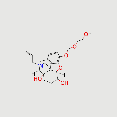 C=CCN1CCC23c4c5ccc(OCOCCOC)c4O[C@H]2[C@@H](O)CC[C@@]3(O)[C@H]1C5